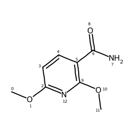 COc1c[c]c(C(N)=O)c(OC)n1